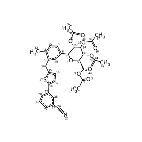 CC(=O)OC[C@H]1O[C@@H](c2ccc(C)c(Cc3ccc(-c4cccc(C#N)c4)s3)c2)[C@H](OC(C)=O)[C@@H](OC(C)=O)[C@@H]1OC(C)=O